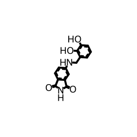 O=C1NC(=O)c2cc(NCc3cccc(O)c3O)ccc21